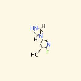 C#Cc1cc(N2C[C@H]3C[C@@H]2CN3)cnc1F